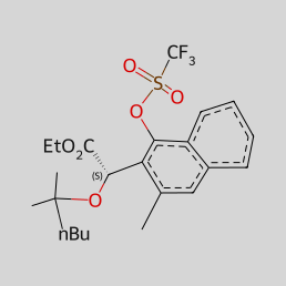 CCCCC(C)(C)O[C@H](C(=O)OCC)c1c(C)cc2ccccc2c1OS(=O)(=O)C(F)(F)F